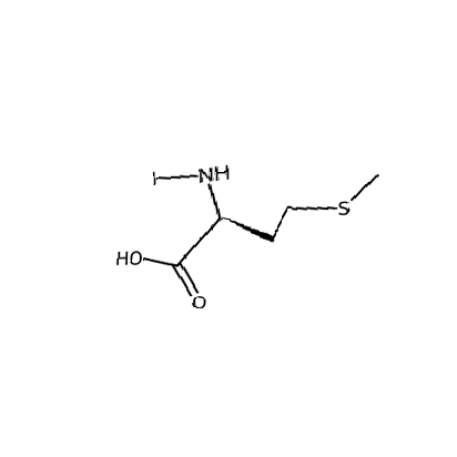 CSCC[C@H](NI)C(=O)O